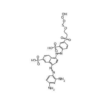 Nc1ccc(/N=N/c2ccc(/N=N/c3ccc(S(=O)(=O)CCOSOOO)cc3S(=O)(=O)O)c3ccc(S(=O)(=O)O)cc23)c(N)c1